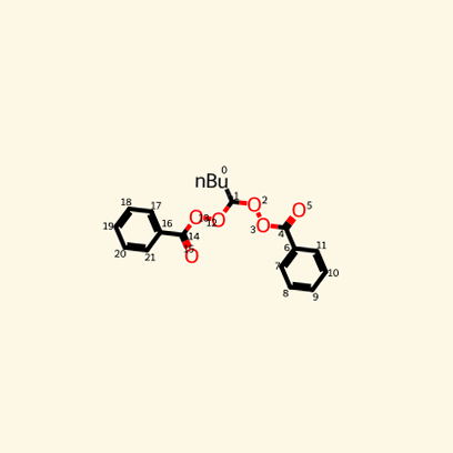 [CH2]CCC[C](OOC(=O)c1ccccc1)OOC(=O)c1ccccc1